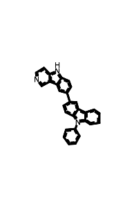 c1ccc(-n2c3ccccc3c3cc(-c4ccc5[nH]c6ccncc6c5c4)ccc32)cc1